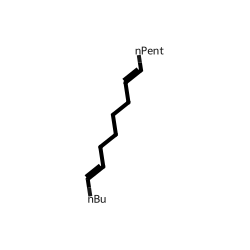 [CH2]CCCC/C=C/CCCC/C=C/CCCC